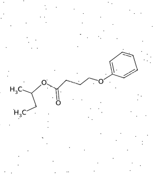 CCC(C)OC(=O)CCCOc1ccccc1